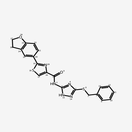 O=C(Nc1nc(SCc2ccccc2)n[nH]1)c1csc(-c2ccc3c(c2)CCO3)n1